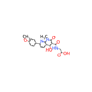 COc1ccc(-c2ccc3c(O)c(C(=O)NCC(=O)O)c(=O)n(C)c3n2)cc1